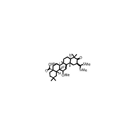 COC(=O)[C@]12CCC(C)(C)C[C@H]1[C@H]1C(OC)C=C3[C@@]4(C)CC(=C(SC)SC)C(=O)C(C)(C)[C@@H]4CC[C@@]3(C)[C@]1(C)CC2